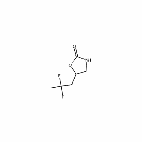 CC(F)(F)CC1CNC(=O)O1